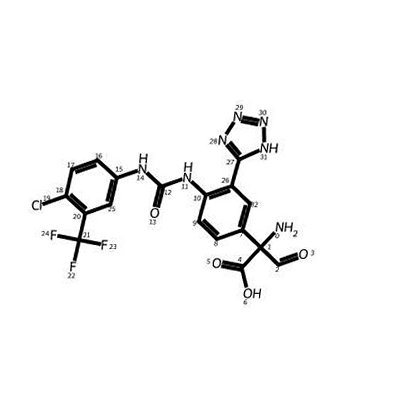 NC(C=O)(C(=O)O)c1ccc(NC(=O)Nc2ccc(Cl)c(C(F)(F)F)c2)c(-c2nnn[nH]2)c1